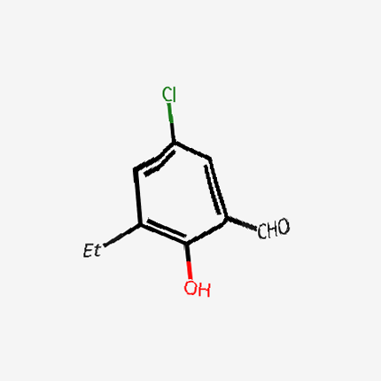 CCc1cc(Cl)cc(C=O)c1O